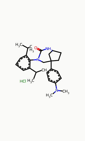 CC(C)c1cccc(C(C)C)c1N(CC1(c2ccc(N(C)C)cc2)CCCC1)C(N)=O.Cl